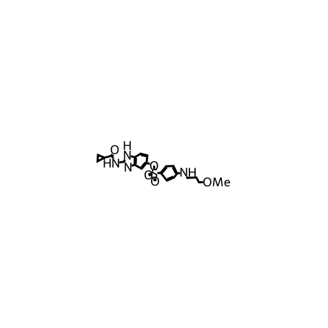 COCCCNc1ccc(S(=O)(=O)Oc2ccc3[nH]c(NC(=O)C4CC4)nc3c2)cc1